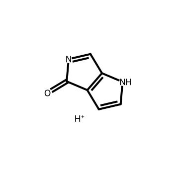 O=C1N=Cc2[nH]ccc21.[H+]